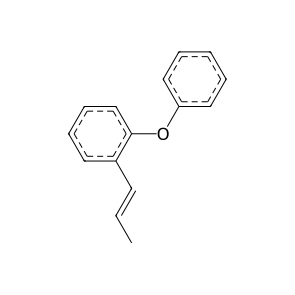 CC=Cc1ccccc1Oc1ccccc1